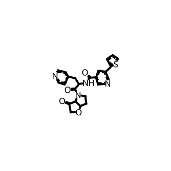 O=C(NC(Cc1ccncc1)C(=O)N1CCC2OCC(=O)C21)c1cncc(-c2cccs2)c1